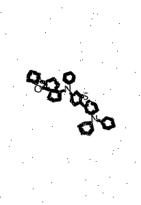 c1ccc(N(c2ccccc2)c2ccc3sc4cc(N(c5ccccc5)c5cccc6c5ccc5c7ccccc7oc65)ccc4c3c2)cc1